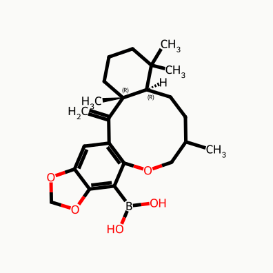 C=C1c2cc3c(c(B(O)O)c2OCC(C)CC[C@@H]2C(C)(C)CCC[C@@]12C)OCO3